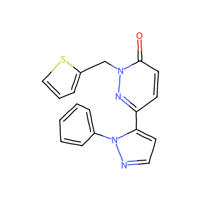 O=c1ccc(-c2ccnn2-c2ccccc2)nn1Cc1cccs1